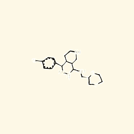 Clc1ccc(C2NNC(NC[C@@H]3COCCO3)C3CNCCC23)cc1